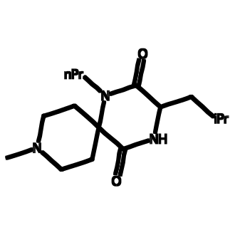 CCCN1C(=O)C(CC(C)C)NC(=O)C12CCN(C)CC2